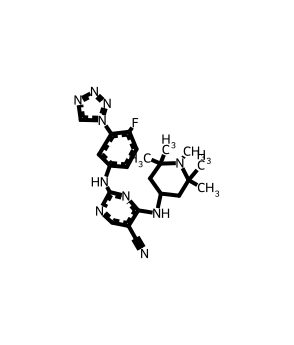 CN1C(C)(C)CC(Nc2nc(Nc3ccc(F)c(-n4cnnn4)c3)ncc2C#N)CC1(C)C